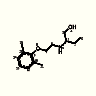 CCC(CO)NCCOc1c(C)cccc1C